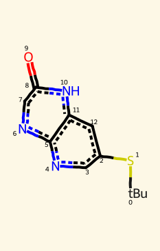 CC(C)(C)Sc1cnc2ncc(=O)[nH]c2c1